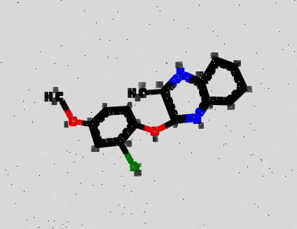 COc1ccc(Oc2nc3ccccc3nc2C)c(Br)c1